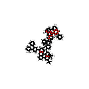 CC(C)(C)C1=CC(c2cccc3cccc(-c4ccccc4N(c4ccc(-c5ccc(-c6ccccc6)c(-c6ccccc6)c5)cc4)c4cccc5c4sc4cccc(CC(C)(C)c6cc(-c7cccc8cccc(-c9ccccc9N(c9ccc(C(C)(C)C)cc9)c9cccc%10c9sc9ccccc9%10)c78)cc(C(C)(C)C)c6)c45)c23)=CC(C)(C(C)(C)C)C1